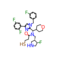 O=C(CCS)N(C[C@@H]1CNC[C@@H]1F)[C@@H](c1nc(-c2cc(F)ccc2F)cn1Cc1cccc(F)c1)C1CCOCC1